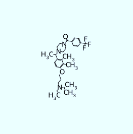 CCN(CCCOc1ccc(C(C)N2CCN(C(=O)c3ccc(C(F)(F)F)cc3)CC2)c(C)c1C)C(C)C